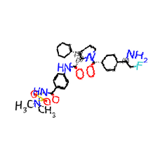 CN(C)S(=O)(=O)NC(=O)c1ccc(NC(=O)[C@@H]2[C@H](C3CCCCC3)CCN2C(=O)[C@H]2CC[C@H]([C@H](N)CF)CC2)cc1